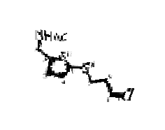 CC(=O)NCc1ccc(SCCCCl)s1